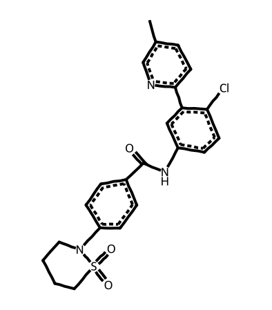 Cc1ccc(-c2cc(NC(=O)c3ccc(N4CCCCS4(=O)=O)cc3)ccc2Cl)nc1